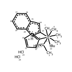 C[SiH](C)[Zr]([CH3])([CH3])([CH3])([CH3])([C]1=CC=CC1)([c]1cc2ccccc2[nH]1)[C](C)(C)C.Cl.Cl